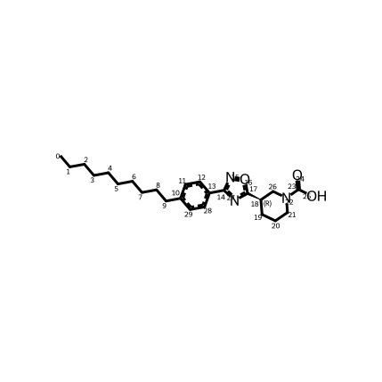 CCCCCCCCCCc1ccc(-c2noc([C@@H]3CCCN(C(=O)O)C3)n2)cc1